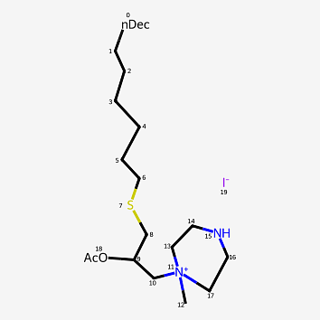 CCCCCCCCCCCCCCCCSCC(C[N+]1(C)CCNCC1)OC(C)=O.[I-]